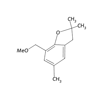 COCc1cc(C)cc2c1OC(C)(C)C2